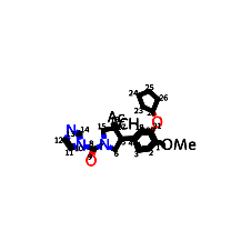 COc1ccc(C2CN(C(=O)n3ccnc3)CC2(C)C(C)=O)cc1OC1CCCC1